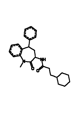 CN1C(=O)C(NC(=O)CCC2CCCCC2)CC(c2ccccc2)c2ccccc21